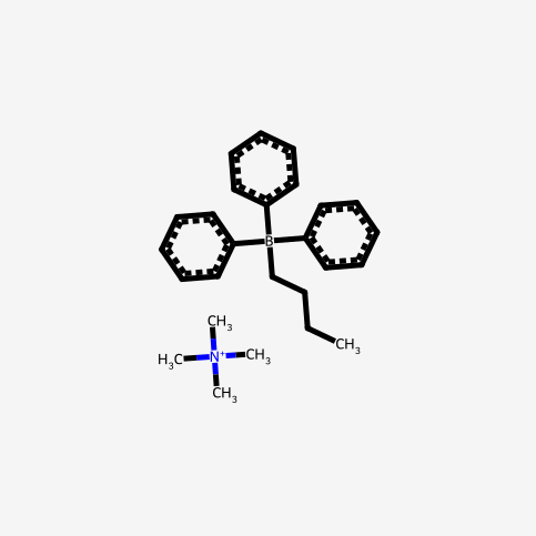 CCCC[B-](c1ccccc1)(c1ccccc1)c1ccccc1.C[N+](C)(C)C